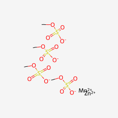 COS(=O)(=O)[O-].COS(=O)(=O)[O-].COS(=O)(=O)[O-].COS(=O)(=O)[O-].[Mn+2].[Zn+2]